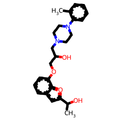 Cc1ccccc1N1CCN(CC(O)COc2cccc3cc(C(C)O)oc23)CC1